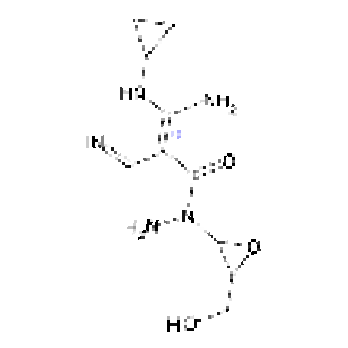 N=C/C(C(=O)N(N)C1OC1CO)=C(/N)NC1CC1